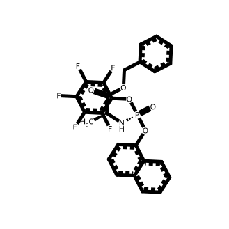 C[C@H](N[P@@](=O)(Oc1c(F)c(F)c(F)c(F)c1F)Oc1cccc2ccccc12)C(=O)OCc1ccccc1